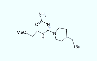 COCCN/C(=N\C(N)=O)N1CCC(CC(C)(C)C)CC1